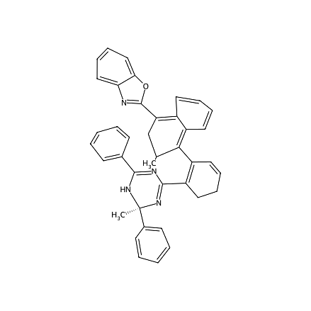 CC1CC(c2nc3ccccc3o2)=c2ccccc2=C1C1=C(C2=N[C@@](C)(c3ccccc3)NC(c3ccccc3)=N2)CCC=C1